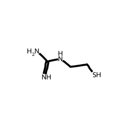 N=C(N)NCCS